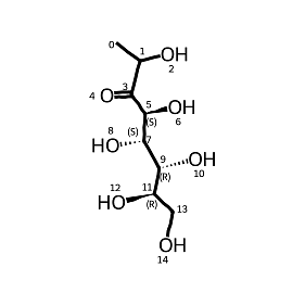 CC(O)C(=O)[C@@H](O)[C@@H](O)[C@H](O)[C@H](O)CO